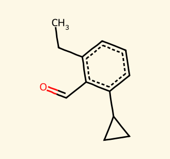 CCc1cccc(C2CC2)c1C=O